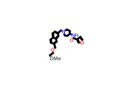 COCCOCc1ccc2ccc(CN3CCC(NC(=O)c4ccoc4)CC3)cc2c1